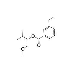 CCc1cccc(C(=O)OC(COC)C(C)C)c1